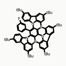 CC(C)(C)c1ccc2c(c1)c1cc(C(C)(C)C)cc3c1n2-c1c2c4c5c(c1-c1cccc(F)c1)-n1c6ccc(C(C)(C)C)cc6c6cc(C(C)(C)C)cc(c61)B5c1cc(C(C)(C)C)cc5c6cc(C(C)(C)C)cc(c6n-4c15)B23